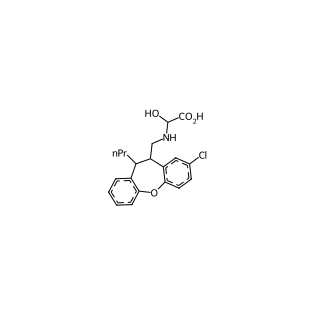 CCCC1c2ccccc2Oc2ccc(Cl)cc2C1CNC(O)C(=O)O